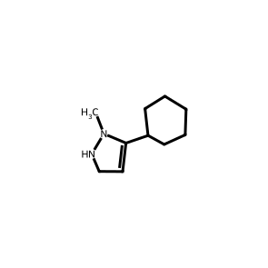 CN1NCC=C1C1CCCCC1